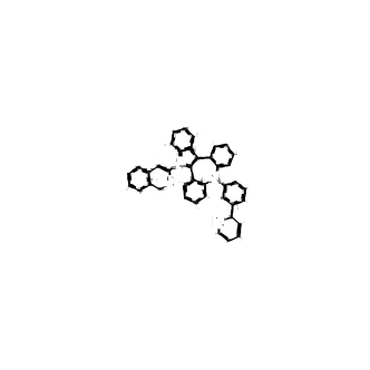 C1=CNC(c2cccc(N3c4ccccc4-c4c(n(C5=Cc6ccccc6CN5)c5ccccc45)-c4ccccc43)c2)C=C1